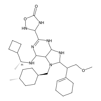 COCC(C1=CCCCC1)C1NC2NC(C3NOC(=O)N3)=NC(N[C@H](C)C3CCC3)C2N1C[C@H]1CC[C@H](C)CC1